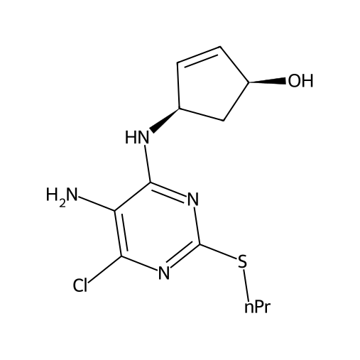 CCCSc1nc(Cl)c(N)c(N[C@H]2C=C[C@@H](O)C2)n1